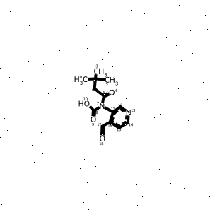 CC(C)(C)CC(=O)N(C(=O)O)c1cnccc1C=O